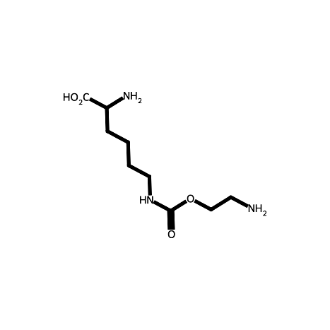 NCCOC(=O)NCCCCC(N)C(=O)O